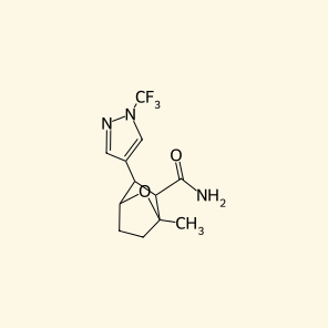 CC12CCC(O1)C(c1cnn(C(F)(F)F)c1)C2C(N)=O